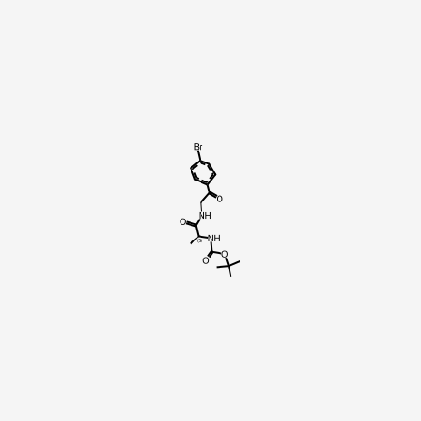 C[C@H](NC(=O)OC(C)(C)C)C(=O)NCC(=O)c1ccc(Br)cc1